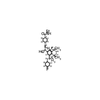 CCNC(=O)c1ccc(C#CC(O)c2cc(SCc3ccc(F)cc3)c3c(c2)C(C)(C)CCC3(C)C)cc1